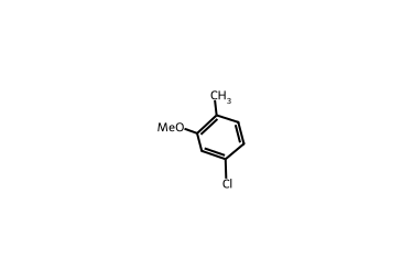 Cc1ccc(Cl)cc1O[13CH3]